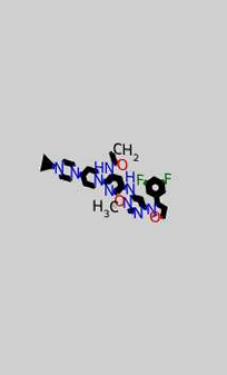 C=CC(=O)Nc1cc(Nc2cc(N3OCCC3c3cc(F)cc(F)c3)ncn2)c(OC)nc1N1CCC(N2CCN(C3CC3)CC2)CC1